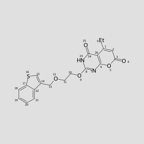 CCc1cc(=O)oc2nc(OCCOCc3csc4ccccc34)[nH]c(=O)c12